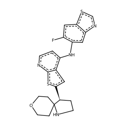 Fc1cc2scnc2cc1Nc1ccnc2sc([C@H]3CCNC34CCOCC4)cc12